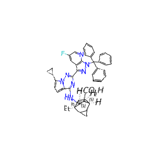 CC[C@@]12CC[C@@H](C3CC31)[C@H](C(=O)O)[C@@H]2Nc1nc(-c2nn(C(c3ccccc3)(c3ccccc3)c3ccccc3)c3ncc(F)cc23)nn2c(C3CC3)ccc12